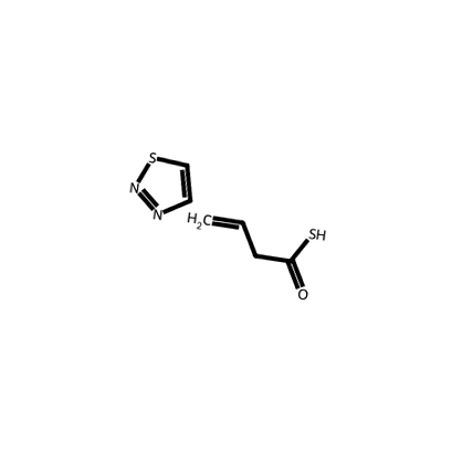 C=CCC(=O)S.c1csnn1